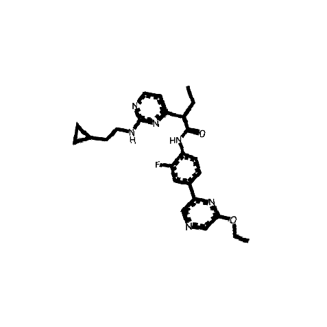 CCOc1cncc(-c2ccc(NC(=O)C(CC)c3ccnc(NCCC4CC4)n3)c(F)c2)n1